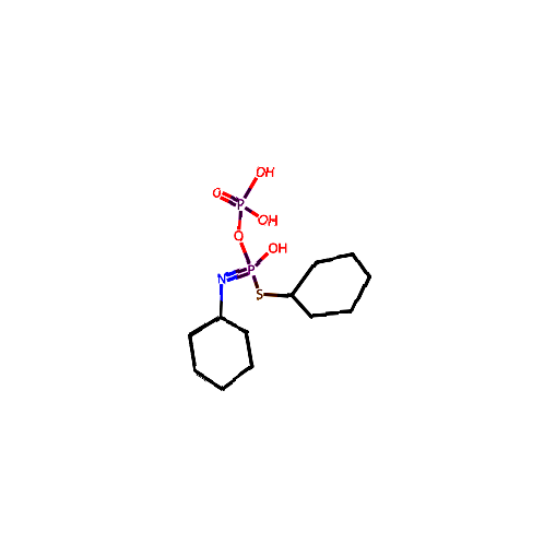 O=P(O)(O)OP(O)(=NC1CCCCC1)SC1CCCCC1